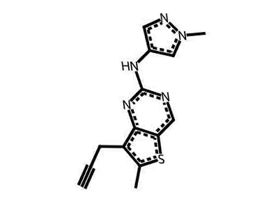 C#CCc1c(C)sc2cnc(Nc3cnn(C)c3)nc12